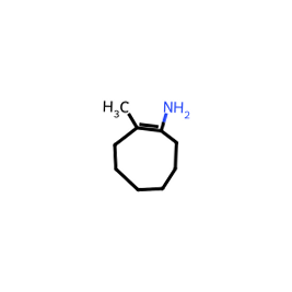 CC1=C(N)CCCCCC1